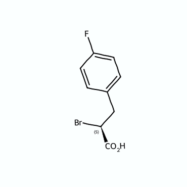 O=C(O)[C@@H](Br)Cc1ccc(F)cc1